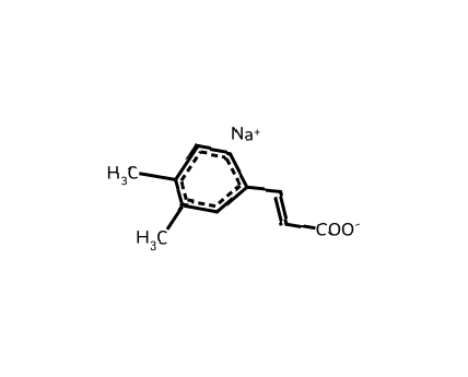 Cc1ccc(C=CC(=O)[O-])cc1C.[Na+]